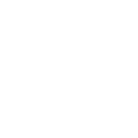 [CH2]CCCCCCCCCCCCCCCCCCCC(CC)CC[CH2]